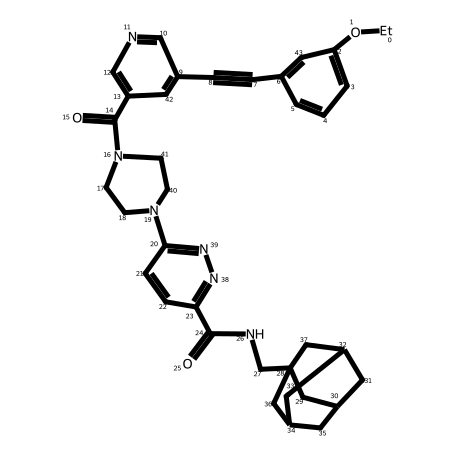 CCOc1cccc(C#Cc2cncc(C(=O)N3CCN(c4ccc(C(=O)NCC56CC7CC(CC(C7)C5)C6)nn4)CC3)c2)c1